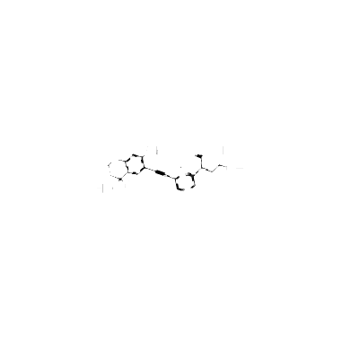 CCCC(C(=O)O)c1cncc(C#Cc2cc3c(cc2C)SCCC3(C)C)n1